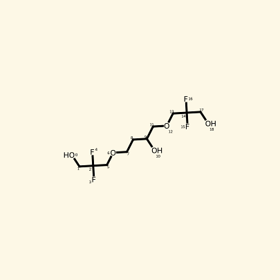 OCC(F)(F)COCCC(O)COCC(F)(F)CO